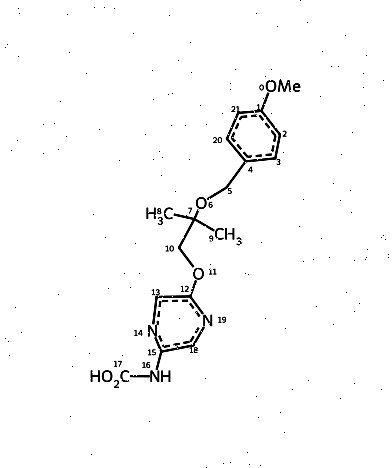 COc1ccc(COC(C)(C)COc2cnc(NC(=O)O)cn2)cc1